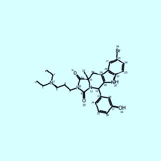 CCN(CC)CCCN1C(=O)N2C(c3cccc(O)c3)c3[nH]c4ccc(Br)cc4c3CC2(C)C1=O